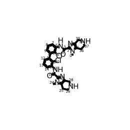 Cn1c(C(=O)Nc2cccc(-c3cccc(NC(=O)c4nc5c(n4C)CCNC5)c3Cl)c2Cl)nc2c1CCNC2